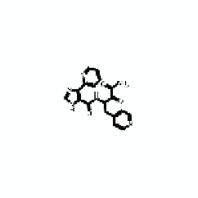 NC(=O)C(=O)C(Cc1ccncc1)NC(=O)c1[nH]cnc1-c1ccccn1